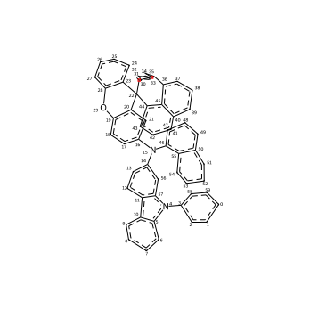 c1ccc(-n2c3ccccc3c3ccc(N(c4ccc5c(c4)C4(c6ccccc6O5)c5ccccc5-c5cccc6cccc4c56)c4cccc5ccccc45)cc32)cc1